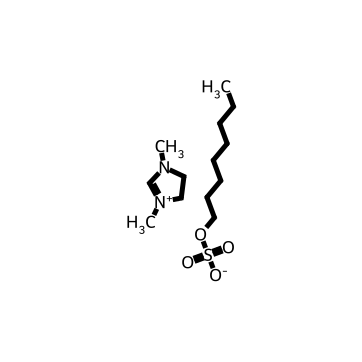 CCCCCCCCOS(=O)(=O)[O-].CN1C=[N+](C)CC1